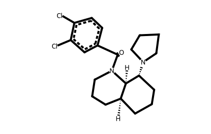 O=C(c1ccc(Cl)c(Cl)c1)N1CCC[C@@H]2CCC[C@@H](N3CCCC3)[C@@H]21